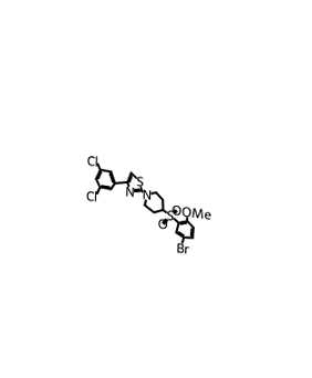 COc1ccc(Br)cc1S(=O)(=O)C1CCN(c2nc(-c3cc(Cl)cc(Cl)c3)cs2)CC1